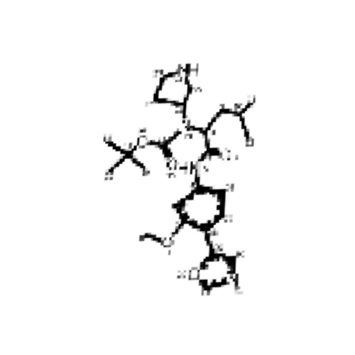 COc1cc(NC(=O)C(CC(C)C)N(C(=O)OC(C)(C)C)C2CCNC2)ccc1-c1cnco1